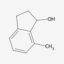 Cc1cccc2c1C(O)CC2